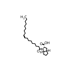 CCCCCCCC/C=C\CCCCCCCC(=O)N1[C@H](C(=O)O)C[C@@H]2CCC[C@@H]21